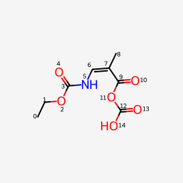 CCOC(=O)NC=C(C)C(=O)OC(=O)O